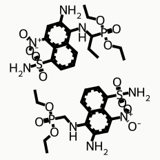 CCOP(=O)(CNc1c(N)cc([N+](=O)[O-])c2c(S(N)(=O)=O)cccc12)OCC.CCOP(=O)(OCC)C(CC)Nc1c(N)cc([N+](=O)[O-])c2c(S(N)(=O)=O)cccc12